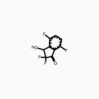 O=C1c2c(F)ccc(F)c2C(O)C1(F)F